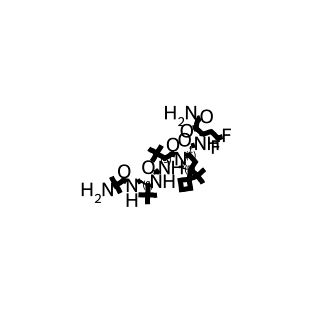 CC(C)(N)C(=O)NC[C@@H](NC(=O)N[C@H](C(=O)N1C[C@]2(C[C@H]1C(=O)NC(CC(F)F)C(=O)C(N)=O)C(C)(C)C21CCC1)C(C)(C)C)C(C)(C)C